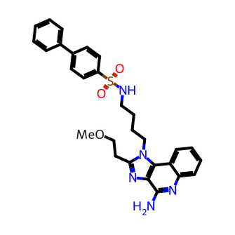 COCCc1nc2c(N)nc3ccccc3c2n1CCCCNS(=O)(=O)c1ccc(-c2ccccc2)cc1